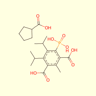 Cc1c(C(=O)O)c(C(C)C)c(C(C)C)c(P(=O)(O)O)c1C(=O)O.O=C(O)C1CCCC1